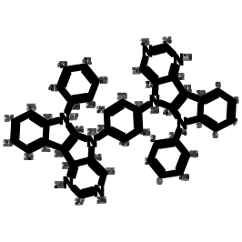 c1ccc(-n2c3ccccc3c3c4ncncc4n(-c4ccc(-n5c6cncnc6c6c7ccccc7n(-c7ccccc7)c65)cc4)c32)cc1